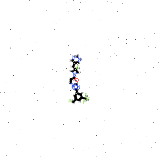 O=C(/C=C\n1cnc(-c2cc(CF)cc(C(F)(F)F)c2)n1)N1CC(F)(Cc2cncnc2)C1